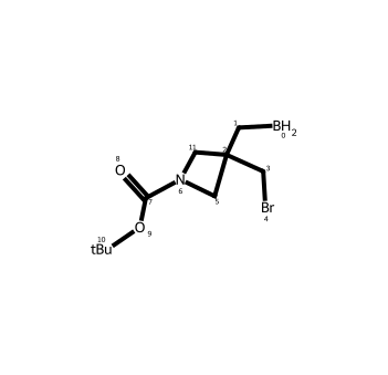 BCC1(CBr)CN(C(=O)OC(C)(C)C)C1